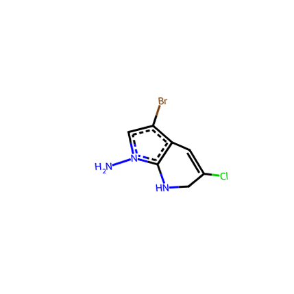 Nn1cc(Br)c2c1NCC(Cl)=C2